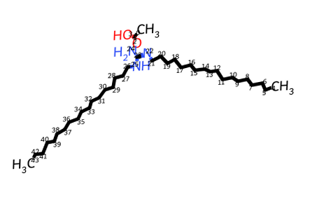 CC(=O)O.CCCCCCCCCCCCCCCCCCN=C(N)NCCCCCCCCCCCCCCCCCC